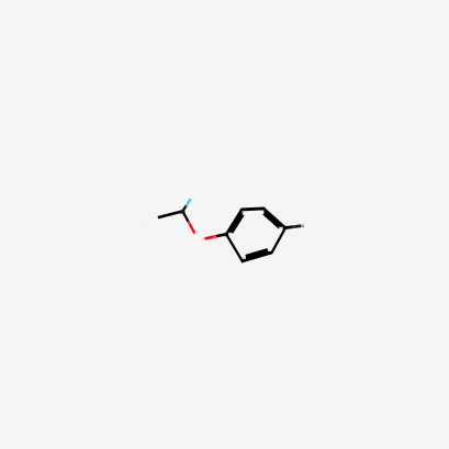 CCc1ccc(OC(C)F)cc1